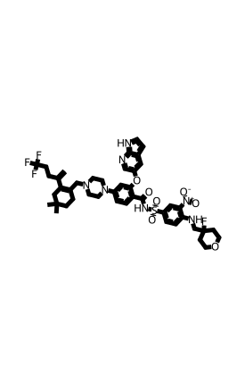 C=C(CCC(F)(F)F)C1=C(CN2CCN(c3ccc(C(=O)NS(=O)(=O)c4ccc(NCC5(F)CCOCC5)c([N+](=O)[O-])c4)c(Oc4cnc5[nH]ccc5c4)c3)CC2)CCC(C)(C)C1